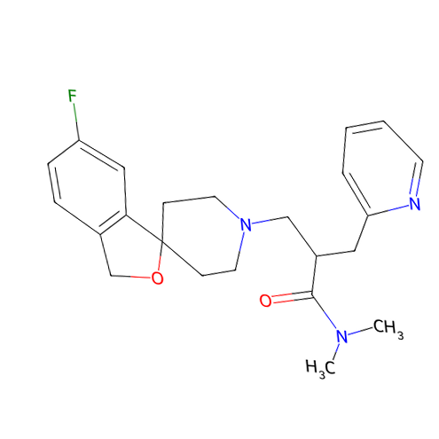 CN(C)C(=O)C(Cc1ccccn1)CN1CCC2(CC1)OCc1ccc(F)cc12